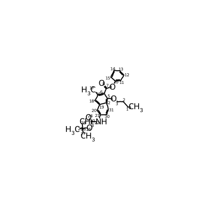 CCCCOc1c(C(=O)Oc2ccccc2)c(C)cc2cc(NC(=O)OC(C)(C)C)ccc12